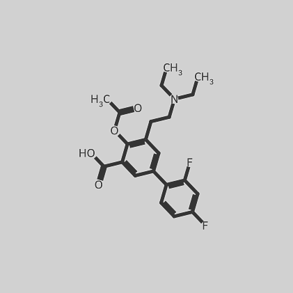 CCN(CC)CCc1cc(-c2ccc(F)cc2F)cc(C(=O)O)c1OC(C)=O